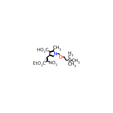 CCOC(=O)/C(=C/c1cn(COCC[Si](C)(C)C)c(C)c1C(=O)O)[N+](=O)[O-]